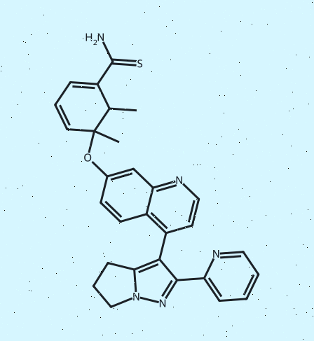 CC1C(C(N)=S)=CC=CC1(C)Oc1ccc2c(-c3c(-c4ccccn4)nn4c3CCC4)ccnc2c1